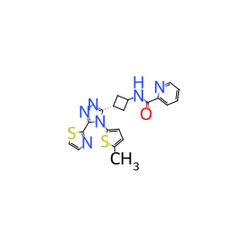 Cc1ccc(-n2c(-c3nccs3)nnc2[C@H]2C[C@H](NC(=O)c3ccccn3)C2)s1